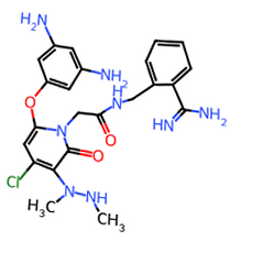 CNN(C)c1c(Cl)cc(Oc2cc(N)cc(N)c2)n(CC(=O)NCc2ccccc2C(=N)N)c1=O